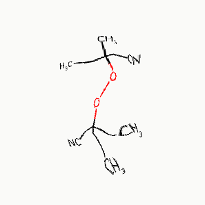 CC(C)(C#N)OOC(C)(C)C#N